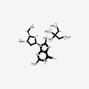 Nc1nc2c(nc(O)n2[C@H]2C[C@H](O)[C@@H](CO)O2)c(=O)[nH]1.O=C(O)CC(O)(CC(=O)O)C(=O)O